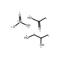 CC(=O)O.CC(O)CO.O=[N+]([O-])O